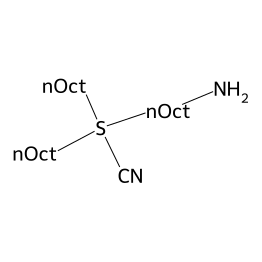 CCCCCCCCS(C#N)(CCCCCCCC)CCCCCCCC.CN